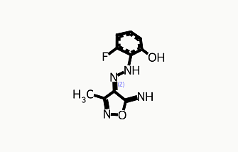 CC1=NOC(=N)/C1=N\Nc1c(O)cccc1F